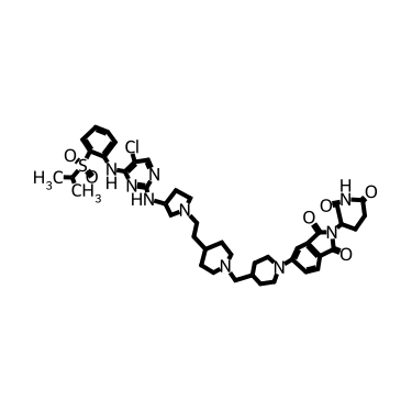 CC(C)S(=O)(=O)c1ccccc1Nc1nc(NC2CCN(CCC3CCN(CC4CCN(c5ccc6c(c5)C(=O)N(C5CCC(=O)NC5=O)C6=O)CC4)CC3)C2)ncc1Cl